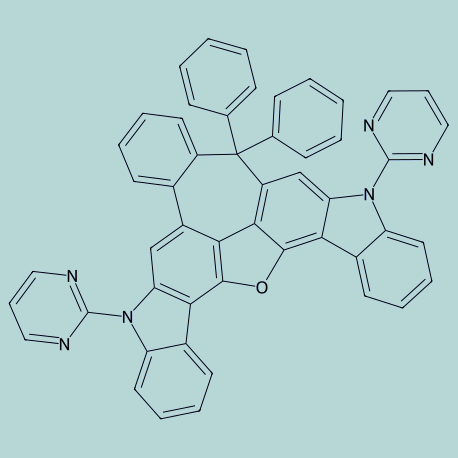 c1ccc(C2(c3ccccc3)c3ccccc3-c3cc4c(c5ccccc5n4-c4ncccn4)c4oc5c(c2cc2c5c5ccccc5n2-c2ncccn2)c34)cc1